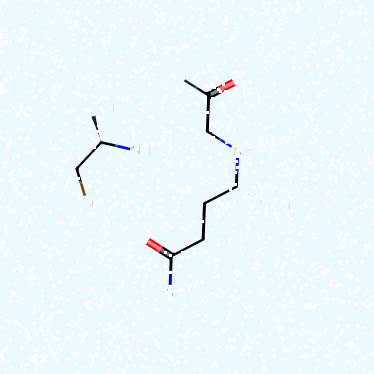 NC(=O)CC[C@H](NCC(=O)C(=O)O)C(=O)O.N[C@@H](CS)C(=O)O